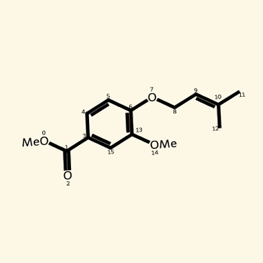 COC(=O)c1ccc(OCC=C(C)C)c(OC)c1